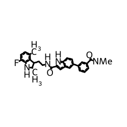 CNC(=O)c1cccc(-c2ccc3[nH]c(C(=O)NCCC4c5c(C)ccc(F)c5NC4C)cc3c2)c1